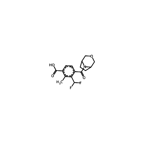 Cc1c(C(=O)O)ccc(C(=O)N2C3CCC2COC3)c1C(F)F